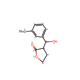 COc1cccc(C(O)C2CCOC2=O)c1